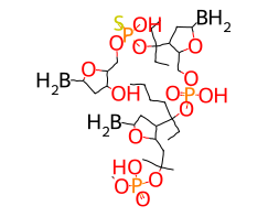 BC1CC(O)C(COP(O)(=S)OC(CC)(CC)C2CC(B)OC2COP(=O)(O)OC(CC)(CCCC)C2CC(B)OC2CC(C)(C)OP(=O)(O)OC)O1